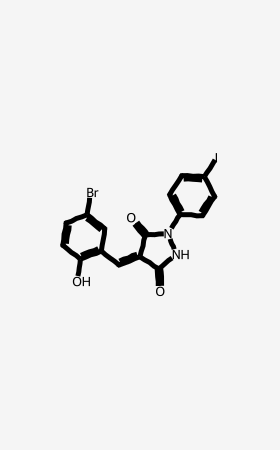 O=C1NN(c2ccc(I)cc2)C(=O)/C1=C\c1cc(Br)ccc1O